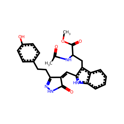 COC(=O)C(Cc1c(C=C2C(=O)NN=C2CCc2ccc(O)cc2)[nH]c2ccccc12)NC(C)=O